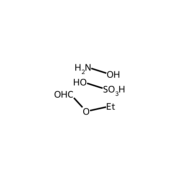 CCOC=O.NO.O=S(=O)(O)O